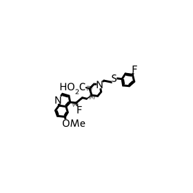 COc1ccc2nccc([C@H](F)CC[C@@H]3CCN(CCSc4cccc(F)c4)C[C@@H]3C(=O)O)c2c1